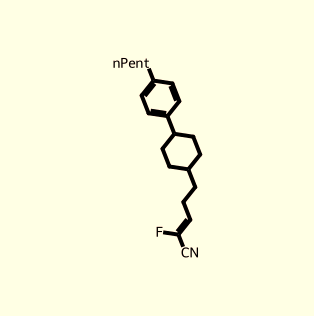 CCCCCc1ccc(C2CCC(CCC=C(F)C#N)CC2)cc1